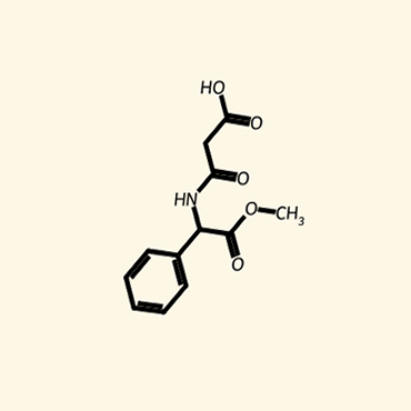 COC(=O)C(NC(=O)CC(=O)O)c1ccccc1